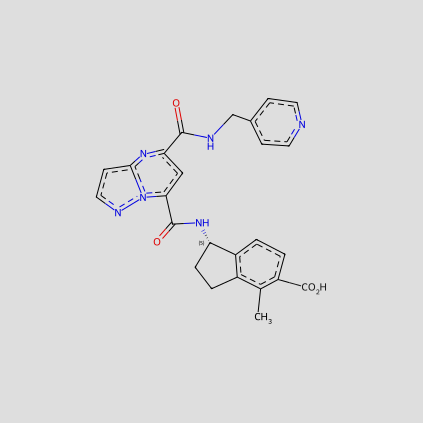 Cc1c(C(=O)O)ccc2c1CC[C@@H]2NC(=O)c1cc(C(=O)NCc2ccncc2)nc2ccnn12